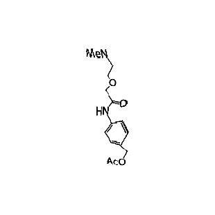 CNCCOCC(=O)Nc1ccc(COC(C)=O)cc1